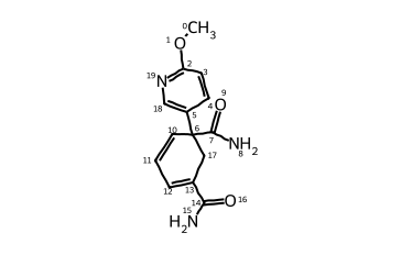 COc1ccc(C2(C(N)=O)C=CC=C(C(N)=O)C2)cn1